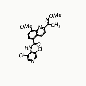 CON=C(C)c1ccc2c(C(=O)Nc3c(Cl)cncc3Cl)ccc(OC)c2n1